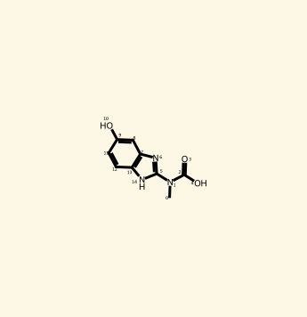 CN(C(=O)O)c1nc2cc(O)ccc2[nH]1